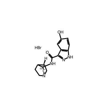 Br.O=C(N[C@@H]1CN2CCC1CC2)c1n[nH]c2ccc(O)cc12